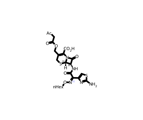 CCCCCCO/N=C(\C(=O)N[C@@H]1C(=O)N2C(C(=O)O)=C(COC(=O)CC(C)=O)CS[C@@H]12)c1csc(N)n1